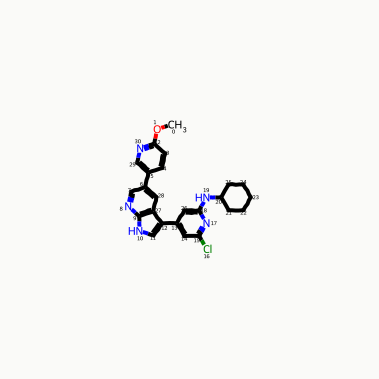 COc1ccc(-c2cnc3[nH]cc(-c4cc(Cl)nc(NC5CCCCC5)c4)c3c2)cn1